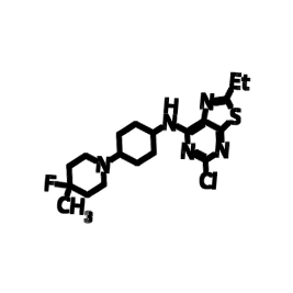 CCc1nc2c(NC3CCC(N4CCC(C)(F)CC4)CC3)nc(Cl)nc2s1